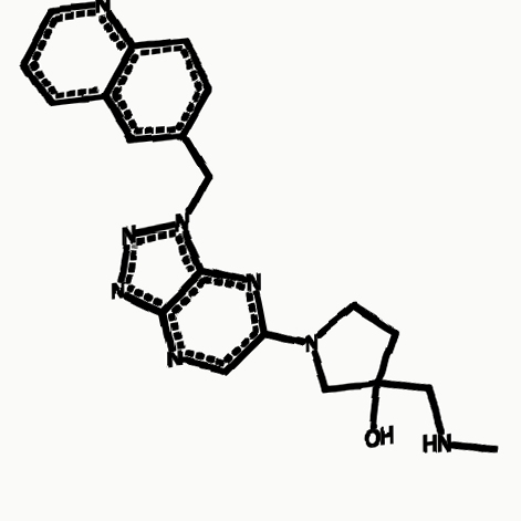 CNCC1(O)CCN(c2cnc3nnn(Cc4ccc5ncccc5c4)c3n2)C1